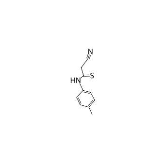 Cc1ccc(NC(=S)CC#N)cc1